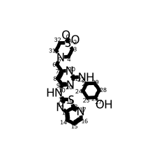 O=S1(=O)CCN(Cc2cc(Nc3nc4cccnc4s3)nc(N[C@H]3CC[C@H](O)CC3)n2)CC1